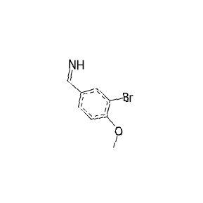 COc1ccc(C=N)cc1Br